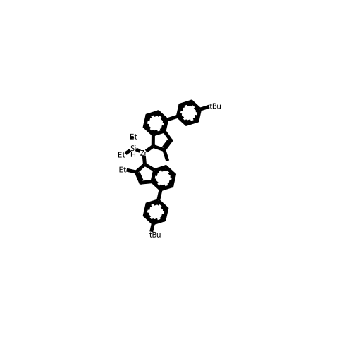 CCC1=Cc2c(-c3ccc(C(C)(C)C)cc3)cccc2[CH]1[Zr]([CH]1C(C)=Cc2c(-c3ccc(C(C)(C)C)cc3)cccc21)[SiH](CC)CC